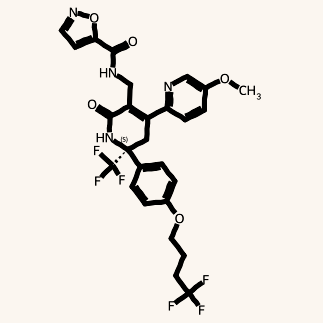 COc1ccc(C2=C(CNC(=O)c3ccno3)C(=O)N[C@@](c3ccc(OCCCC(F)(F)F)cc3)(C(F)(F)F)C2)nc1